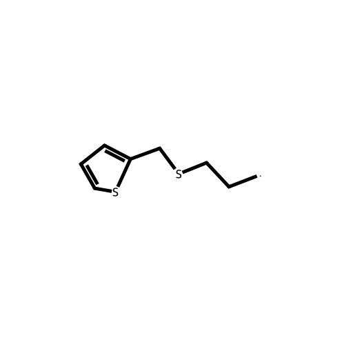 [CH2]CCSCc1cccs1